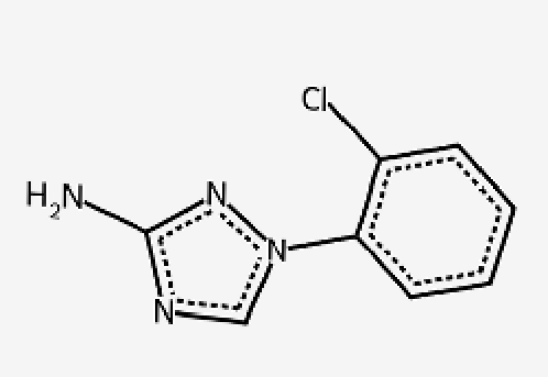 Nc1ncn(-c2ccccc2Cl)n1